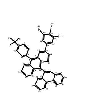 CC(C)(C)c1ccc(-c2c3ccccc3c(-c3cc4ccccc4c4ccccc34)c3ccc(-c4cc(F)c(F)c(F)c4)cc23)cc1